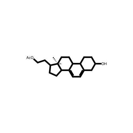 CC(=O)OCCC1CCC2C3=CC=C4CC(O)CCC4C3CC[C@]12C